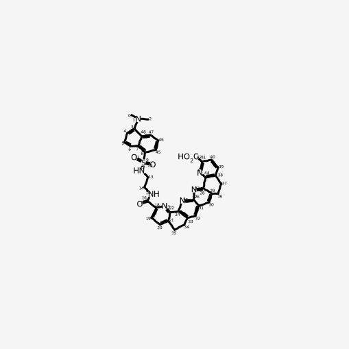 CN(C)c1cccc2c(S(=O)(=O)NCCNC(=O)c3ccc4c(n3)-c3nc5nc6c(cc5cc3CC4)CCc3ccc(C(=O)O)nc3-6)cccc12